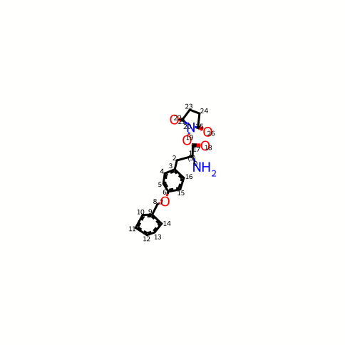 N[C@@H](Cc1ccc(OCc2ccccc2)cc1)C(=O)ON1C(=O)CCC1=O